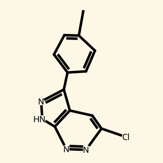 Cc1ccc(-c2n[nH]c3nnc(Cl)cc23)cc1